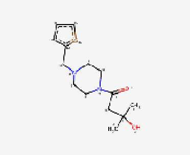 CC(C)(O)CC(=O)N1CCN(Cc2cccs2)CC1